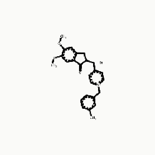 COc1cc2c(cc1OC)C(=O)C(Cc1cc[n+](Cc3cccc(C)c3)cc1)C2.[Br-]